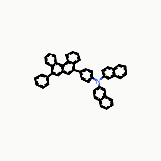 c1ccc(-c2cc3cc(-c4ccc(N(c5ccc6ccccc6c5)c5ccc6ccccc6c5)cc4)c4ccccc4c3c3ccccc23)cc1